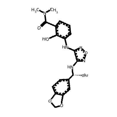 CN(C)C(=O)c1cccc(Nc2nonc2N[C@@H](c2ccc3c(c2)OCO3)C(C)(C)C)c1O